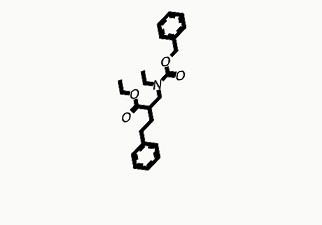 CCOC(=O)C(CCc1ccccc1)CN(CC)C(=O)OCc1ccccc1